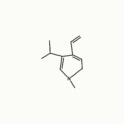 C=CC1=CCN(C)C=C1C(C)C